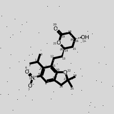 CC(C)c1c([N+](=O)[O-])cc2c(c1CC[C@@H]1C[C@@H](O)CC(=O)O1)OC(C)(C)C2